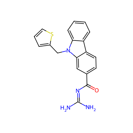 NC(N)=NC(=O)c1ccc2c3ccccc3n(Cc3cccs3)c2c1